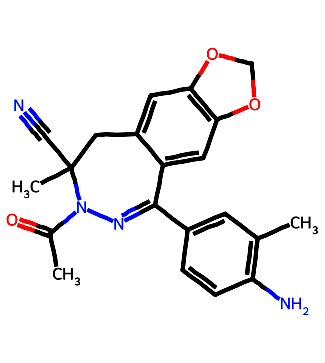 CC(=O)N1N=C(c2ccc(N)c(C)c2)c2cc3c(cc2CC1(C)C#N)OCO3